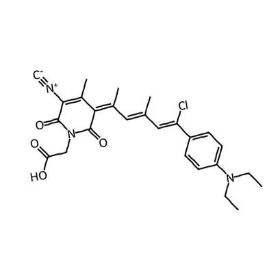 [C-]#[N+]C1=C(C)/C(=C(C)/C=C(C)/C=C(\Cl)c2ccc(N(CC)CC)cc2)C(=O)N(CC(=O)O)C1=O